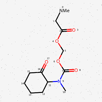 CNCC(=O)OCOC(=O)N(C)C1CCCCC1=O